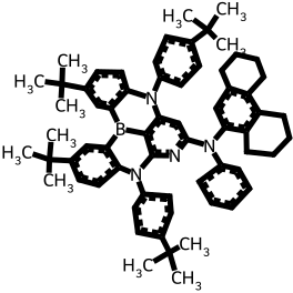 CC(C)(C)c1ccc(N2c3ccc(C(C)(C)C)cc3B3c4cc(C(C)(C)C)ccc4N(c4ccc(C(C)(C)C)cc4)c4nc(N(c5ccccc5)c5cc6c(c7c5CCCC7)CCCC6)cc2c43)cc1